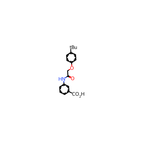 CC(C)(C)c1ccc(OCC(=O)Nc2cccc(C(=O)O)c2)cc1